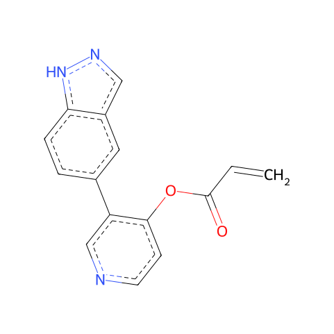 C=CC(=O)Oc1ccncc1-c1ccc2[nH]ncc2c1